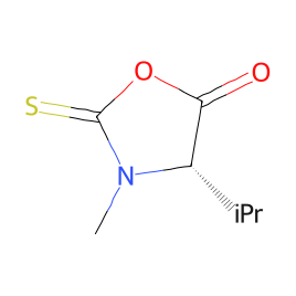 CC(C)[C@H]1C(=O)OC(=S)N1C